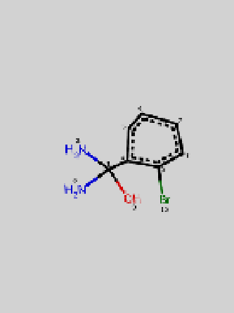 NC(N)(O)c1ccccc1Br